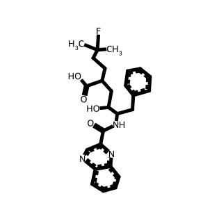 CC(C)(F)CCC(CC(O)C(Cc1ccccc1)NC(=O)c1cnc2ccccc2n1)C(=O)O